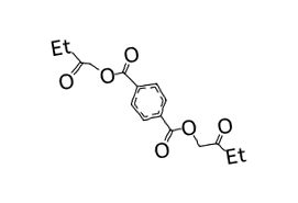 CCC(=O)COC(=O)c1ccc(C(=O)OCC(=O)CC)cc1